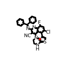 N#Cc1c(N=C(c2ccccc2)c2ccccc2)nc2c(F)cc(Cl)c(-c3cscn3)c2c1N1CCNCC1